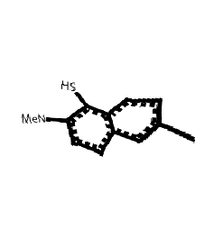 CNc1ccc2cc(C)ccc2c1S